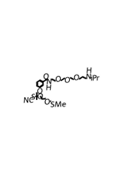 CSCOCCOC(C)(COc1cccc(C(=O)NCCOCCOCCOCCCNC(C)C)c1)SC#N